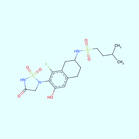 CC(C)CCS(=O)(=O)NC1CCc2cc(O)c(N3CC(=O)NS3(=O)=O)c(F)c2C1